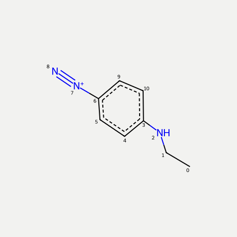 CCNc1ccc([N+]#N)cc1